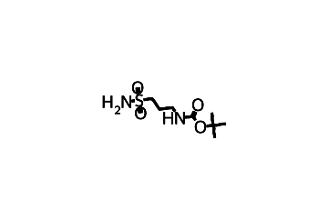 CC(C)(C)OC(=O)NCCCS(N)(=O)=O